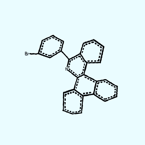 Brc1cccc(-c2nc3c4ccccc4c4ccccc4c3c3ccccc23)c1